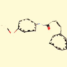 COc1ccc(NC(=O)/C=C\c2ccccc2)cc1